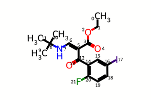 CCOC(=O)/C(=C/NC(C)(C)C)C(=O)c1cc(I)ccc1F